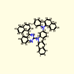 c1ccc2cc3c(cc2c1)c1ccc(-n2c4ccccc4c4ccc5ccccc5c42)cc1n3-c1nc(-c2cccc3ccccc23)c2ccccc2n1